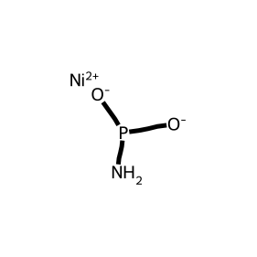 NP([O-])[O-].[Ni+2]